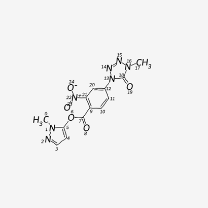 Cn1nccc1OC(=O)c1ccc(-n2nnn(C)c2=O)cc1[N+](=O)[O-]